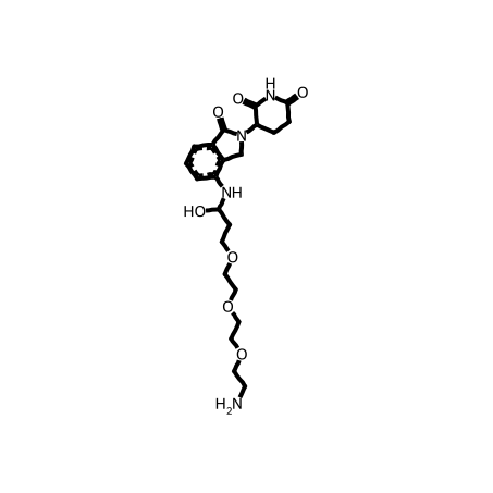 NCCOCCOCCOCCC(O)Nc1cccc2c1CN(C1CCC(=O)NC1=O)C2=O